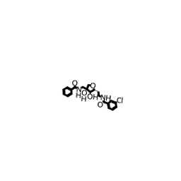 O=C(NCC[C@H]1OC[C@@](O)(CNC(=O)c2ccccc2)[C@@H]1O)c1cccc(Cl)c1